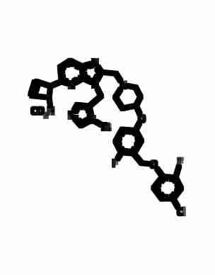 CCn1cncc1Cn1c(CN2CCC(Oc3ccc(F)c(COc4ccc(Cl)cc4F)c3)CC2)nc2ccc(C3C#CC3C(=O)O)nc21